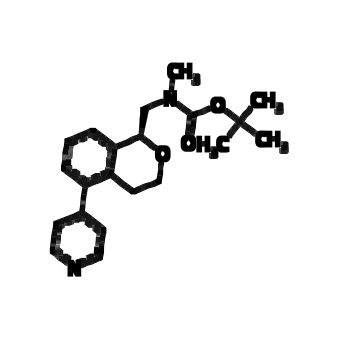 CN(C[C@H]1OCCc2c(-c3ccncc3)cccc21)C(=O)OC(C)(C)C